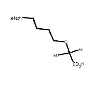 CCCCCCCCCCCOC(CC)(CC)C(=O)O